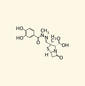 CN(/N=C/[C@]1(C)S[C@@H]2CC(=O)N2[C@H]1C(=O)O)C(=O)c1ccc(O)c(O)c1